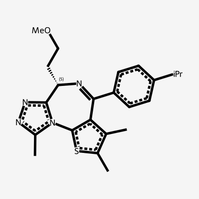 COCC[C@@H]1N=C(c2ccc(C(C)C)cc2)c2c(sc(C)c2C)-n2c(C)nnc21